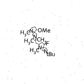 CO[C@H]1CCN(C)C12CN(C(C)(C)CC1C[C@@H](F)C3(CN(C(C)(C)C)C3)N1C)C2